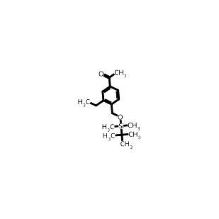 CCc1cc(C(C)=O)ccc1CO[Si](C)(C)C(C)(C)C